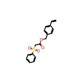 C=Cc1ccc(COC(=O)CS(=O)(=O)c2ccccc2)cc1